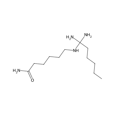 CCCCCC(N)(N)NCCCCCC(N)=O